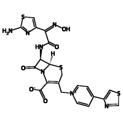 Nc1nc(/C(=N/O)C(=O)N[C@@H]2C(=O)N3C(C(=O)[O-])=C(C[n+]4ccc(-c5cscn5)cc4)CS[C@H]23)cs1